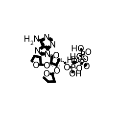 Nc1ncnc2c1ncn2[C@@H]1O[C@H](COP(=O)(O)OP(=O)(O)OP(=O)(O)O)[C@@H](OC2CCCO2)[C@H]1OC1CCCO1